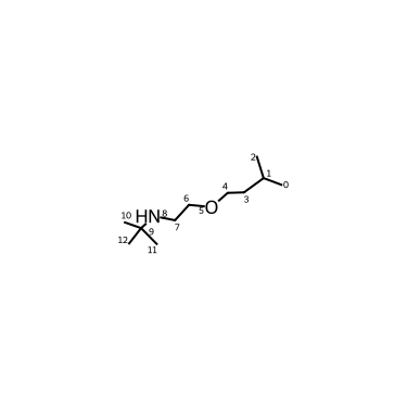 CC(C)CCOCCNC(C)(C)C